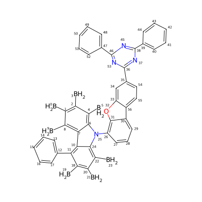 Bc1c(B)c(B)c2c(c1B)c1c(-c3ccccc3)c(B)c(B)c(B)c1n2-c1cccc2c1oc1cc(-c3nc(-c4ccccc4)nc(-c4ccccc4)n3)ccc12